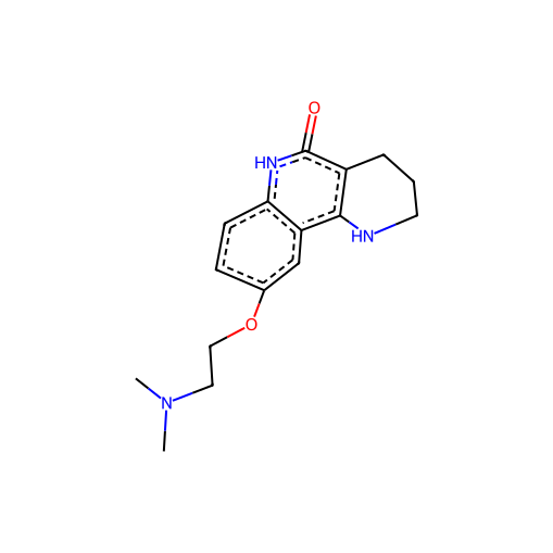 CN(C)CCOc1ccc2[nH]c(=O)c3c(c2c1)NCCC3